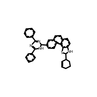 C1=CC(C2Nc3ccc4ccc5cc(C6N=C(c7ccccc7)N=C(c7ccccc7)N6)ccc5c4c3S2)CCC1